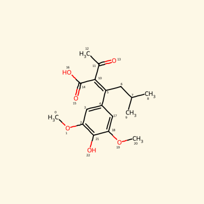 COc1cc(C(CC(C)C)=C(C(C)=O)C(=O)O)cc(OC)c1O